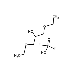 CCOCC(O)COCC.O=P(O)(F)F